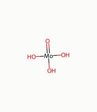 [O]=[Mo]([OH])([OH])[OH]